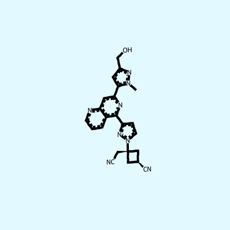 Cn1nc(CO)cc1-c1cc2ncccc2c(-c2ccn([C@]3(CC#N)C[C@@H](C#N)C3)n2)n1